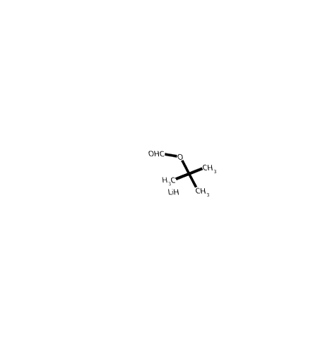 CC(C)(C)OC=O.[LiH]